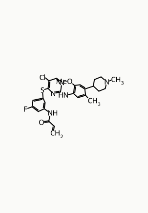 C=CC(=O)Nc1cc(F)cc(Sc2nc(Nc3cc(C)c(C4CCN(C)CC4)cc3OC)ncc2Cl)c1